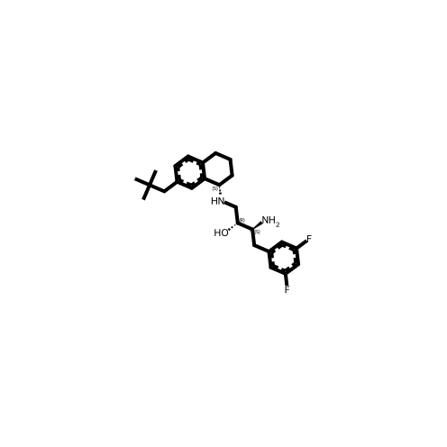 CC(C)(C)Cc1ccc2c(c1)[C@@H](NC[C@@H](O)[C@@H](N)Cc1cc(F)cc(F)c1)CCC2